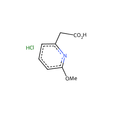 COc1cccc(CC(=O)O)n1.Cl